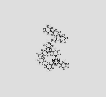 C=C1c2ccccc2-c2cc3c(cc21)c1ccc(CCC2c4ccccc4-c4ccc(-c5ccccc5)cc42)cc1n3-c1cccc(-c2nc(-c3ccccc3)nc(-c3ccccc3)n2)c1